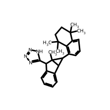 CC1(C)CCC(C)(C)c2c(C3C4c5ccccc5C(c5nnn[nH]5)C43C)cccc21